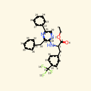 CCOC(=O)C(Cc1ccc(C(F)(F)F)cc1)Nc1ncc(-c2ccccc2)nc1Cc1ccccc1